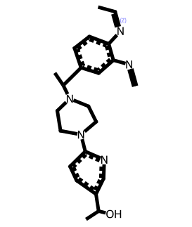 C=Nc1cc(C(C)N2CCN(c3ccc(C(C)O)cn3)CC2)ccc1/N=C\C